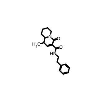 CC1C=C(C(=O)NCCc2ccccc2)C(=O)N2CCCCC12